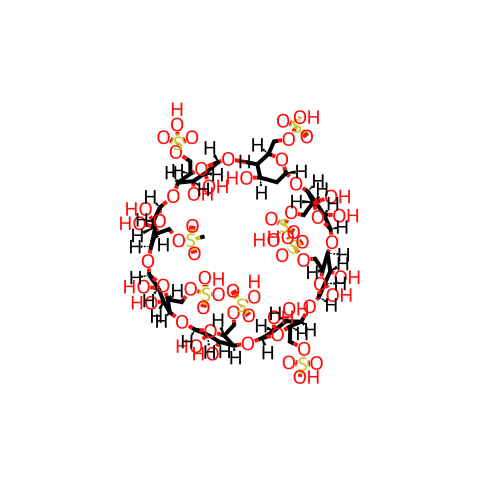 CS(=O)(=O)OC[C@H]1O[C@@H]2O[C@H]3[C@H](O)[C@@H](O)[C@@H](O[C@H]4[C@H](O)C[C@@H](O[C@H]5[C@H](O)[C@@H](O)[C@@H](O[C@H]6[C@H](O)[C@@H](O)[C@@H](O[C@H]7[C@H](O)[C@@H](O)[C@@H](O[C@H]8[C@H](O)[C@@H](O)[C@@H](O[C@H]9[C@H](O)[C@@H](O)[C@@H](O[C@H]1[C@H](O)[C@H]2O)O[C@@H]9COS(=O)(=O)O)O[C@@H]8COS(=O)(=O)O)O[C@@H]7COS(=O)(=O)O)O[C@@H]6COS(=O)(=O)O)O[C@@H]5COS(=O)(=O)O)O[C@@H]4COS(=O)(=O)O)O[C@@H]3COS(=O)(=O)O